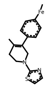 [CH3][Fe][c]1ccc(C2=C(C)CCN(c3nccs3)C2)cc1